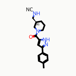 Cc1ccc(-c2cc(C(=O)N3CCC[C@H](CNC#N)C3)[nH]n2)cc1